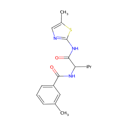 Cc1cccc(C(=O)NC(C(=O)Nc2ncc(C)s2)C(C)C)c1